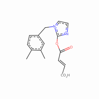 Cc1ccc(Cn2ccnc2OC(=O)/C=C/C(=O)O)cc1C